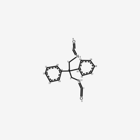 O=C=NCC(CN=C=O)(c1ccccc1)c1ccccc1